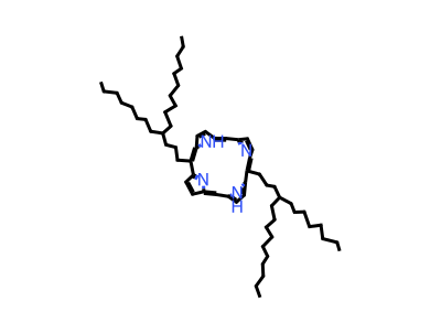 CCCCCCCCCCC(CCCCCCCC)CCCc1c2nc(cc3ccc([nH]3)c(CCCC(CCCCCCCC)CCCCCCCCCC)c3nc(cc4ccc1[nH]4)C=C3)C=C2